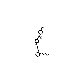 CCCCCC1CCCCC1CCCOc1ccc(OC(=O)C2CCC(CC)CC2)cc1